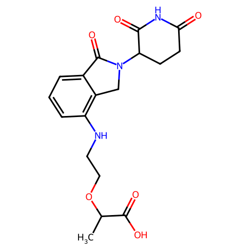 CC(OCCNc1cccc2c1CN(C1CCC(=O)NC1=O)C2=O)C(=O)O